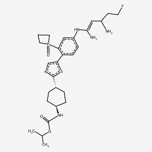 CC(C)OC(=O)N[C@H]1CC[C@H](c2ncc(-c3ccc(N/C(N)=C/C(N)CCF)cc3P3(=O)CCC3)s2)CC1